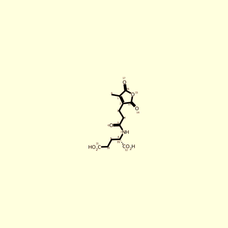 CC1=C(CCC(=O)N[C@@H](CCC(=O)O)C(=O)O)C(=O)OC1=O